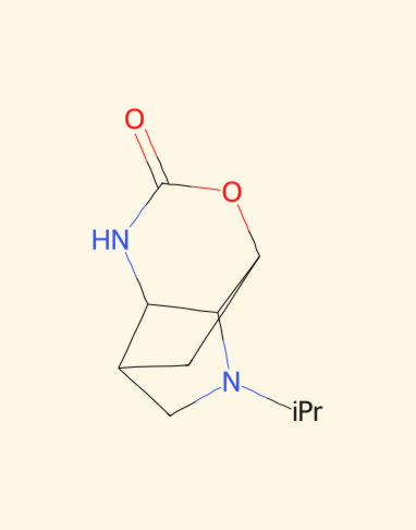 CC(C)N1CC2CC3OC(=O)NC2C31